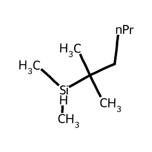 CCCCC(C)(C)[SiH](C)C